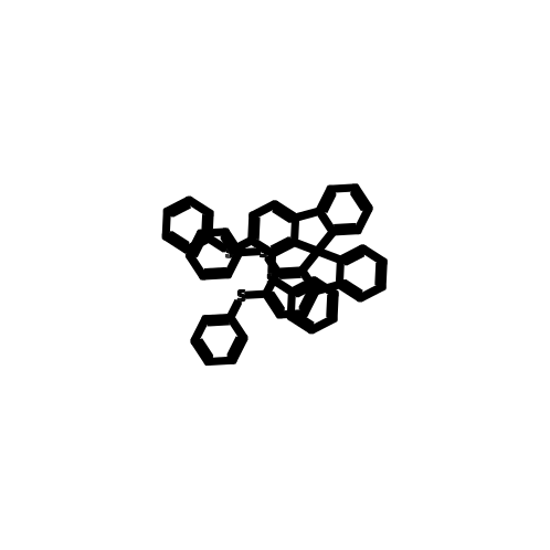 c1ccc(Sc2ccc3c(c2Sc2ccccc2)C2(c4ccccc4-3)c3ccccc3-c3ccc(Sc4ccccc4)c(Sc4ccccc4)c32)cc1